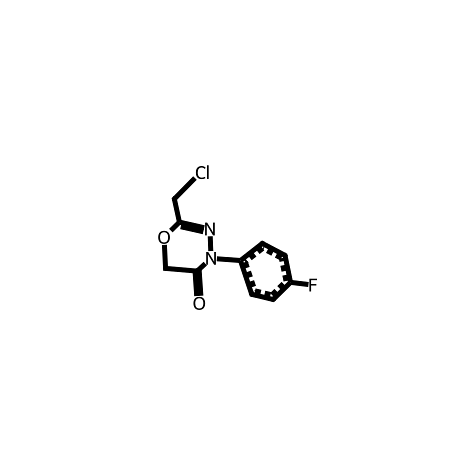 O=C1COC(CCl)=NN1c1ccc(F)cc1